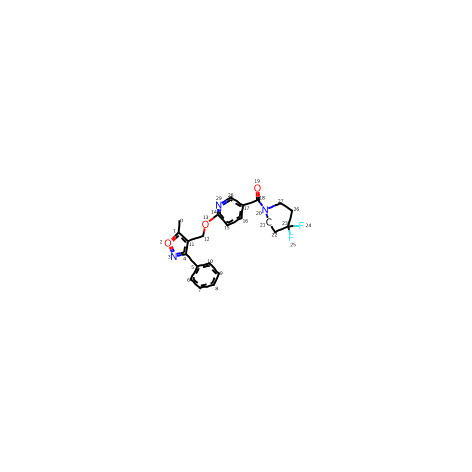 Cc1onc(-c2ccccc2)c1COc1ccc(C(=O)N2CCC(F)(F)CC2)cn1